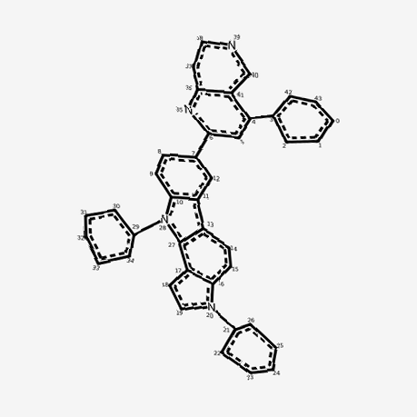 c1ccc(-c2cc(-c3ccc4c(c3)c3ccc5c(ccn5-c5ccccc5)c3n4-c3ccccc3)nc3ccncc23)cc1